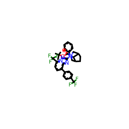 CC(C)(C)OC(=O)N1CC2CCC(C1)C2N(c1ccccc1)c1nc2c(-c3ccc(C(F)(F)F)cc3)ccc(C(F)(F)F)n2n1